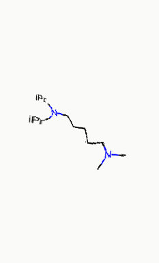 CC(C)N(CCC[CH]CN(C)C)C(C)C